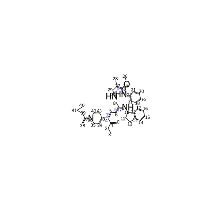 C=C(CC)/C(=C\C=C(/C)NC1CCc2cccc(-c3cccc(N/C(OC)=C(/C)C=N)c3)c21)C1=CCN(C(=C)C2CC2)CC1